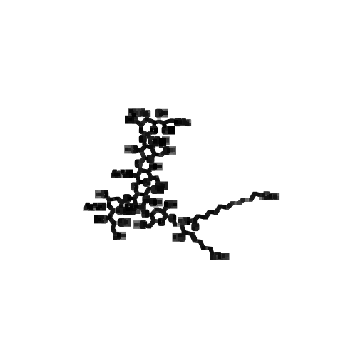 CCCCCCCCCCCCC/C=C/[C@@H](O)[C@H](CO[C@@H]1OC(CO)[C@@H](O[C@@H]2OC(CO)[C@H](O[C@@H]3OC(CO)[C@H](O)[C@H](O[C@@H]4OC(CO)[C@H](O)[C@H](O[C@]5(C(=O)O)CC(O)[C@@H](NC(C)=O)C([C@H](O)[C@H](O)COC(C)=O)O5)C4O)C3NC(C)=O)[C@H](O[C@]3(C(=O)O)CC(O)[C@@H](NC(C)=O)C([C@H](O)[C@H](O)CO)O3)C2O)[C@H](O)C1O)NC(=O)CCCCCCCCCCCCCCCCCCCCC